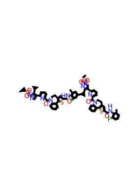 CCS(=O)(=O)n1cc(-c2cccc(C(=O)N3CCc4cc(C(=O)Nc5c(C)cccc5F)sc4-c4ccccc43)n2)c(C2CC2c2cc(C)c(NC(=O)c3cc4c(s3)-c3ccccc3N(C(=O)c3cccc(-c5cnn(S(=O)(=O)C6CC6)c5C5CC5)n3)CC4)c(F)c2)n1